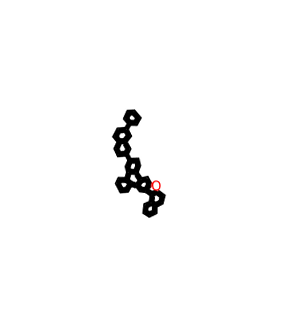 c1ccc(-c2ccc3ccc(-c4ccc5c(c4)c4ccccc4c4cc6c(cc54)oc4ccc5ccccc5c46)cc3c2)cc1